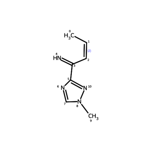 C/C=C\C(=N)c1ncn(C)n1